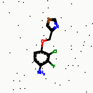 Nc1ccc(OCc2cscn2)c(Cl)c1F